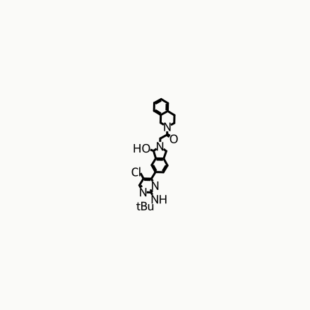 CC(C)(C)Nc1ncc(Cl)c(-c2ccc3c(c2)C(O)N(CC(=O)N2CCc4ccccc4C2)C3)n1